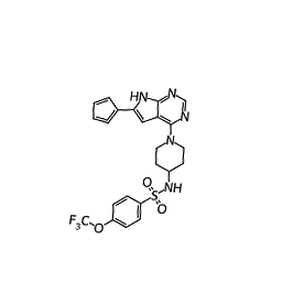 O=S(=O)(NC1CCN(c2ncnc3[nH]c(C4=C=CC=C4)cc23)CC1)c1ccc(OC(F)(F)F)cc1